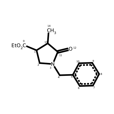 CCOC(=O)C1CN(Cc2ccccc2)C(=O)C1C